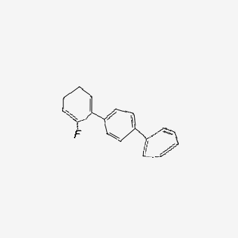 FC1=CCCC=C1c1ccc(-c2ccccc2)cc1